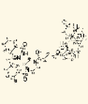 C[C@]12CC[C@@]34C(CC[C@H]5CC(=O)CC[C@@]53C)C4C[C@@H]1CC[C@@H]2OCCCC(=O)N1CCN(C(=O)c2cc(Cc3n[nH]c(=O)c4ccccc34)ccc2F)CC1